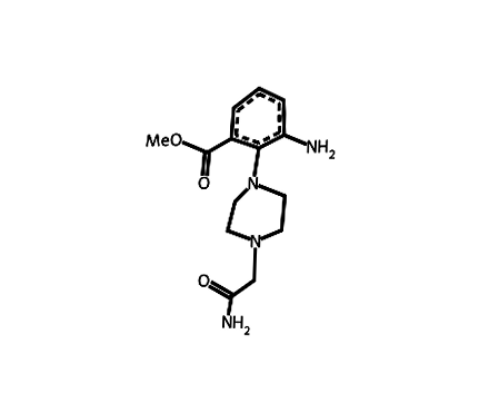 COC(=O)c1cccc(N)c1N1CCN(CC(N)=O)CC1